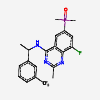 Cc1nc(NC(C)c2cccc(C(F)(F)F)c2)c2cc(P(C)(C)=O)cc(F)c2n1